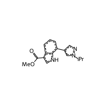 COC(=O)c1c[nH]c2c(-c3cnn(C(C)C)c3)cccc12